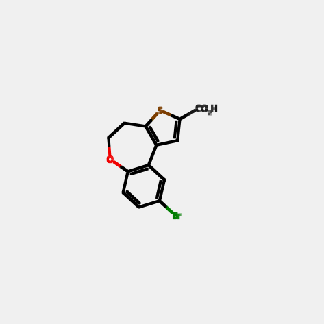 O=C(O)c1cc2c(s1)CCOc1ccc(Br)cc1-2